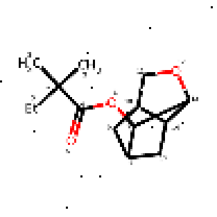 CCC(C)(C)C(=O)OC1C2CC3COC1C3C2